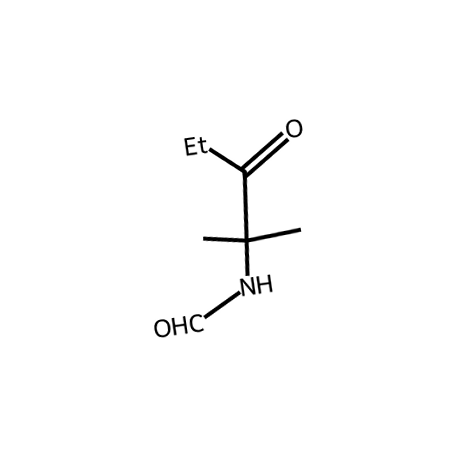 CCC(=O)C(C)(C)NC=O